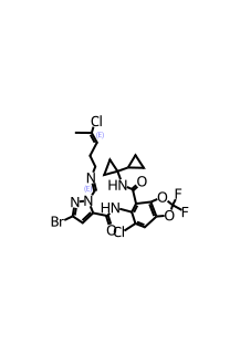 C/C(Cl)=C\CC/N=C/n1nc(Br)cc1C(=O)Nc1c(Cl)cc2c(c1C(=O)NC1(C3CC3)CC1)OC(F)(F)O2